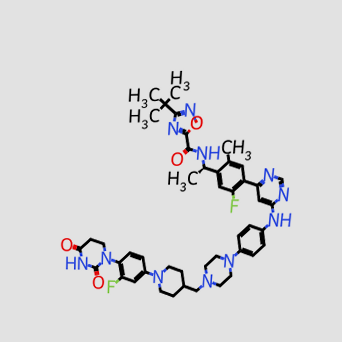 Cc1cc(-c2cc(Nc3ccc(N4CCN(CC5CCN(c6ccc(N7CCC(=O)NC7=O)c(F)c6)CC5)CC4)cc3)ncn2)c(F)cc1[C@@H](C)NC(=O)c1nc(C(C)(C)C)no1